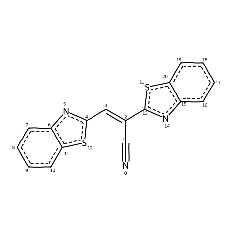 N#C/C(=C\c1nc2ccccc2s1)c1nc2ccccc2s1